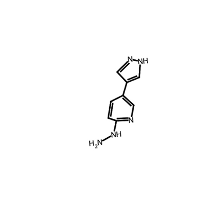 NNc1ccc(-c2cn[nH]c2)cn1